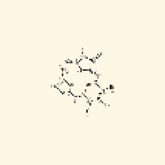 CN1C(=O)S/C(=C\c2cc(Oc3cnc(N)s3)c(O)c(F)c2Br)C1=O